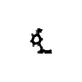 CCCCCCc1cccc(Br)c1